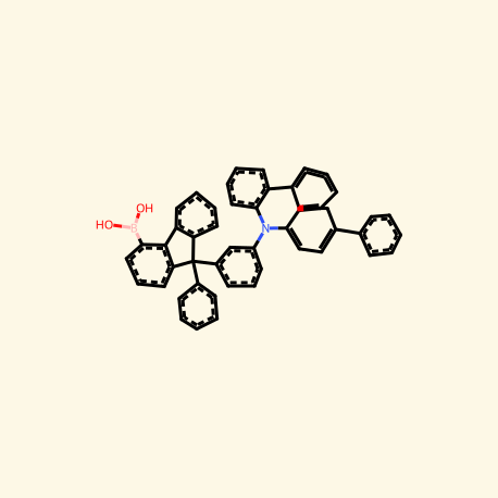 OB(O)c1cccc2c1-c1ccccc1C2(c1ccccc1)c1cccc(N(C2=CC=C(c3ccccc3)CC2)c2ccccc2C2=C=C=CC=C2)c1